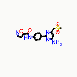 CS(=O)(=O)Cc1cc(N)nc(-c2ccc(NC(=O)c3ccno3)cc2)n1